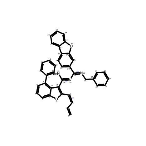 C=C/C=C\c1oc2cccc(-c3ccccc3)c2c1/C(=N/C(=N\Cc1ccccc1)c1ccc2c(c1)oc1ccccc12)NC